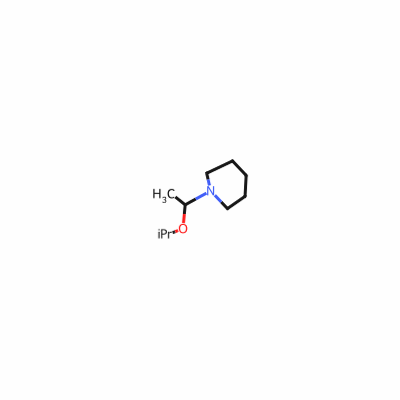 CC(C)OC(C)N1CCCCC1